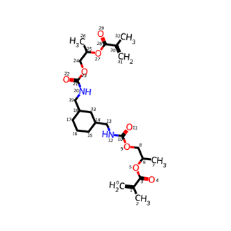 C=C(C)C(=O)OC(C)COC(=O)NCC1CCCC(CNC(=O)OCC(C)OC(=O)C(=C)C)C1